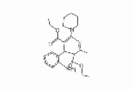 CCOC(=O)C1=C(N2CCCCC2)N=C(C)C(C(=O)OCC)C1c1ccccc1C#N